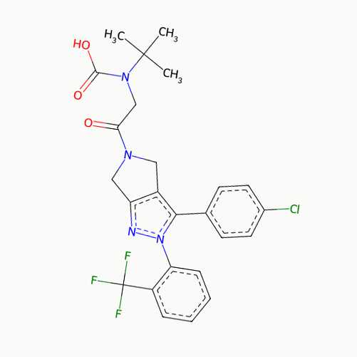 CC(C)(C)N(CC(=O)N1Cc2nn(-c3ccccc3C(F)(F)F)c(-c3ccc(Cl)cc3)c2C1)C(=O)O